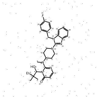 CCC(C)(C)C(O)n1c(N(C)C2CCN(c3nc4ccccc4n3Cc3ccc(F)cc3)CC2)nccc1=O